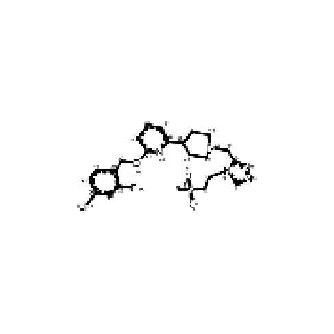 CS(=O)(=O)CCn1cnnc1CN1CCC(c2cccc(OCc3ccc(Cl)cc3F)n2)CC1